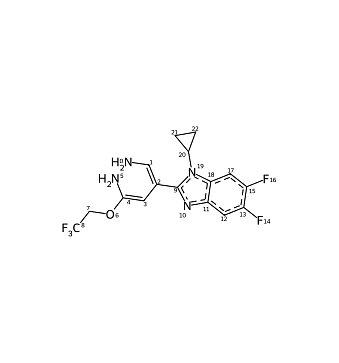 N/C=C(\C=C(/N)OCC(F)(F)F)c1nc2cc(F)c(F)cc2n1C1CC1